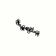 O=C(NC12CC(c3nnc(C4CC(OC(F)(F)F)C4)o3)(C1)C2)OCC1CC(OC(F)(F)F)C1